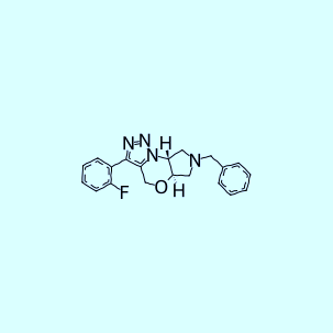 Fc1ccccc1-c1nnn2c1CO[C@@H]1CN(Cc3ccccc3)C[C@H]12